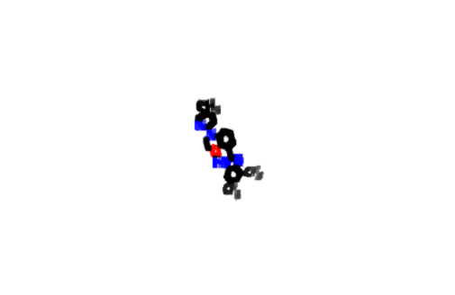 Cc1ccc(N2CCOc3c(-c4nc5c(C(F)(F)F)cc(C(F)(F)F)cc5[nH]4)cccc32)nc1